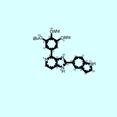 COc1cc(-c2nccc3[nH]c(-c4ccc5[nH]ccc5c4)nc23)cc(OCC(C)C)c1OC